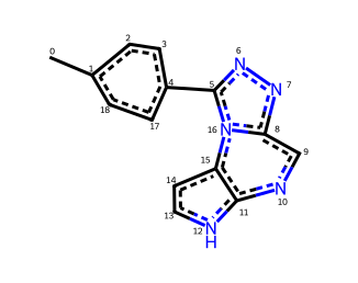 Cc1ccc(-c2nnc3cnc4[nH]ccc4n23)cc1